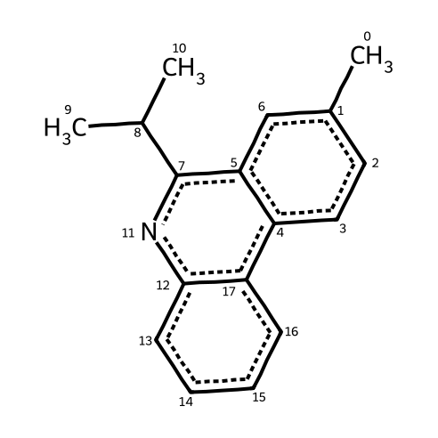 Cc1ccc2c(c1)c(C(C)C)nc1ccccc12